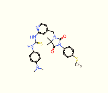 CN(C)c1ccc(NC(=S)Nc2cc(CN3C(=O)N(c4ccc(SC(F)(F)F)cc4)C(=O)C3(C)C)ccn2)cc1